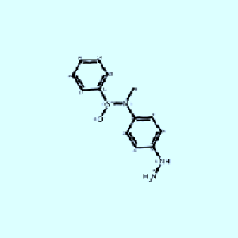 CN(c1ccc(NN)cc1)[S+]([O-])c1ccccc1